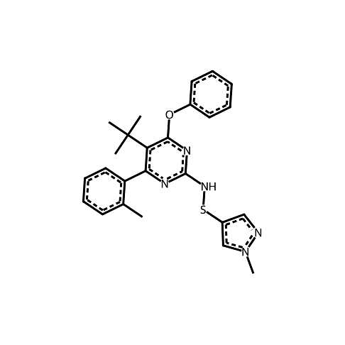 Cc1ccccc1-c1nc(NSc2cnn(C)c2)nc(Oc2ccccc2)c1C(C)(C)C